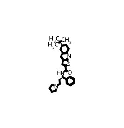 CC(C)(C)[C@H]1CCc2nc3sc(C(=O)N[C@H](CCN4CCCC4)c4ccccc4)cc3cc2C1